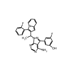 CC(c1cc2ccccn2c1-c1ccccc1F)n1nc(-c2cc(O)cc(F)c2)c2c(N)ncnc21